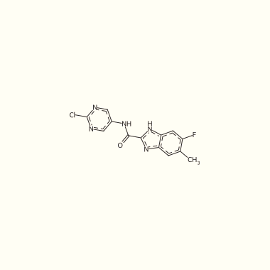 Cc1cc2nc(C(=O)Nc3cnc(Cl)nc3)[nH]c2cc1F